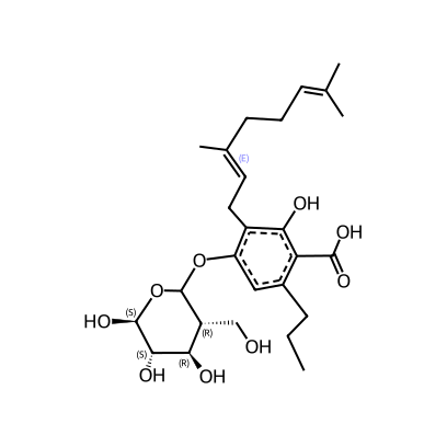 CCCc1cc(OC2O[C@H](O)[C@@H](O)[C@H](O)[C@H]2CO)c(C/C=C(\C)CCC=C(C)C)c(O)c1C(=O)O